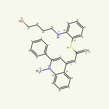 C=C(/C=C1\C=C(c2ccccc2)N(C)c2ccccc21)Sc1ccccc1NCCCCO